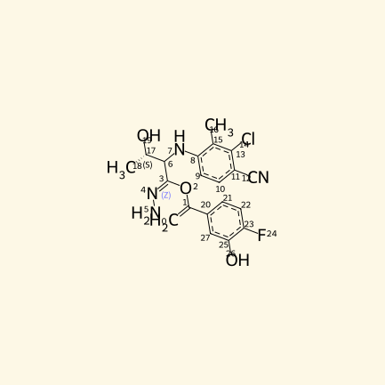 C=C(O/C(=N\N)C(Nc1ccc(C#N)c(Cl)c1C)[C@H](C)O)c1ccc(F)c(O)c1